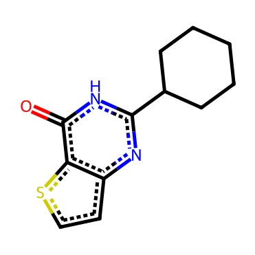 O=c1[nH]c(C2CCCCC2)nc2ccsc12